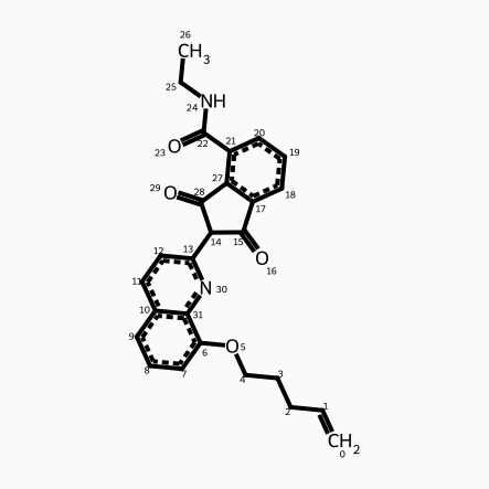 C=CCCCOc1cccc2ccc(C3C(=O)c4cccc(C(=O)NCC)c4C3=O)nc12